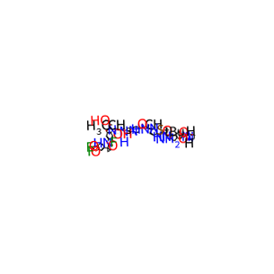 CC(NC(=O)C1CCN(CCNC[C@H](O)Cn2c(C(C)(C)CO)cc3cc(NC(=O)C4(c5ccc6c(c5)OC(F)(F)O6)CC4)c(F)cc32)CC1)c1ccc2c(N)c(C(=O)N[C@H]3CCc4cc(N5C[C@H]6CC[C@@H](C5)N6C(=O)OC(C)(C)C)ccc4C3)sc2n1